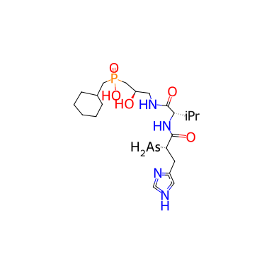 CC(C)[C@H](NC(=O)[C@@H]([AsH2])Cc1c[nH]cn1)C(=O)NC[C@@H](O)CP(=O)(O)CC1CCCCC1